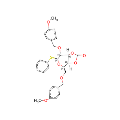 COc1ccc(COC[C@H]2O[C@@H](Sc3ccccc3)[C@H](OCc3ccc(OC)cc3)[C@H]3OC(=O)O[C@H]32)cc1